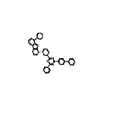 C1=CC(c2nc(-c3ccccc3)nc(-c3ccc(-c4ccccc4)cc3)n2)CC(c2cccc3c2sc2c(-c4ccccc4)cccc23)=C1